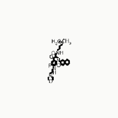 CN(C)CCCCNC(=O)c1cn2c3c(c(NCCCN4CCOCC4)c(F)cc3c1=O)Oc1cc3ccccc3cc1-2